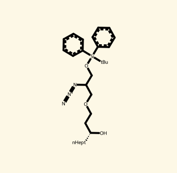 CCCCCCC[C@@H](O)CCOCC(CO[Si](c1ccccc1)(c1ccccc1)C(C)(C)C)N=[N+]=[N-]